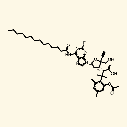 C#CC1(CO)O[C@@H](n2cnc3c(NC(=O)CCCCCCCCCCCCC)nc(F)nc32)C[C@H]1C(C(=O)O)C(C)(C)c1c(C)cc(C)cc1OC(C)=O